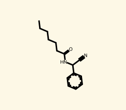 CCCCCCC(=O)NC(C#N)c1ccccc1